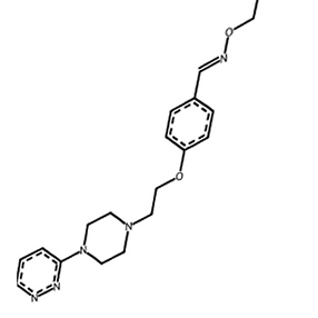 C=CCON=Cc1ccc(OCCN2CCN(c3cccnn3)CC2)cc1